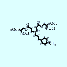 CCCCCCCCC(CCCCCCCC)COC(=O)CCN(CCCC1CCN(C)CC1)CCC(=O)OCC(CCCCCCCC)CCCCCCCC